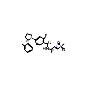 Cc1ccccc1[C@@H]1CCCN1c1ccc(C(=O)N[C@H](C)/C=C/S(C)(=O)=O)c(F)c1